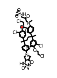 CN(CC(=O)CNS(C)(=O)=O)c1ccc(C(C)(CCC(C)(c2ccc(N3CC(=O)C(NS(C)(=O)=O)C3)cc2)c2cc(Cl)c(OCCCl)c(Cl)c2)c2cc(Cl)c(OCCCl)c(Cl)c2)cc1C#N